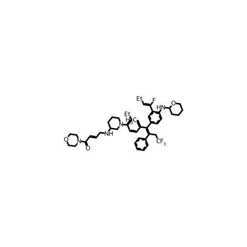 C/C=C(\C=C/C(=C/CC)N1CCCC(NC/C=C/C(=O)N2CCOCC2)C1)C(=C(/CC(F)(F)F)c1ccccc1)/c1ccc(NC2CCCCO2)c(/C(F)=C/CC)c1